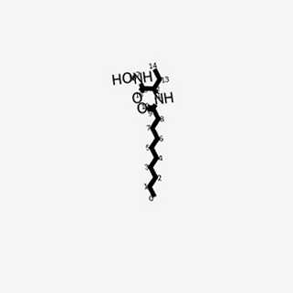 CCCCCCCCCC(=O)NC(CC)C(=O)NO